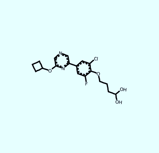 OC(O)CCCOc1c(F)cc(-c2cncc(OC3CCC3)n2)cc1Cl